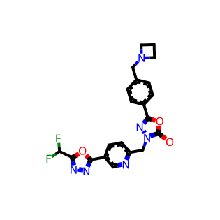 O=c1oc(-c2ccc(CN3CCC3)cc2)nn1Cc1ccc(-c2nnc(C(F)F)o2)cn1